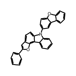 c1ccc(-c2cc3ccc4c(c5ccccc5n4-c4ccc5oc6ccccc6c5c4)c3o2)cc1